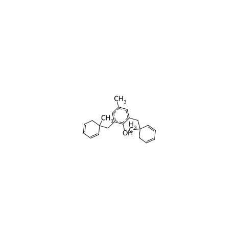 Cc1cc(CC2(C)C=CC=CC2)c(O)c(CC2(C)C=CC=CC2)c1